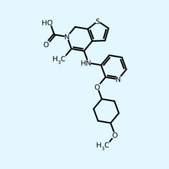 COC1CCC(Oc2ncccc2NC2=C(C)N(C(=O)O)Cc3sccc32)CC1